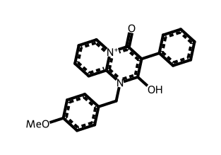 COc1ccc(Cn2c(O)c(-c3ccccc3)c(=O)[n+]3ccccc23)cc1